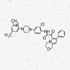 Cc1cc(C)nc(N2CCN(c3ccc(NC(=O)C(=O)c4c(-c5ccccc5)cc5n4CCOC5)c(Cl)c3)CC2)c1